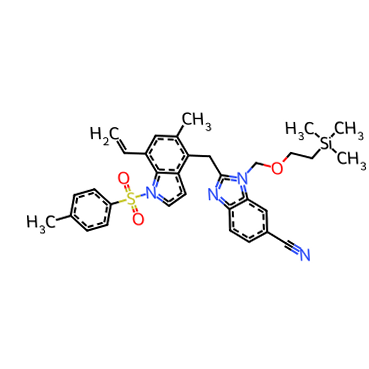 C=Cc1cc(C)c(Cc2nc3ccc(C#N)cc3n2COCC[Si](C)(C)C)c2ccn(S(=O)(=O)c3ccc(C)cc3)c12